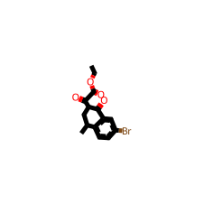 CCOC(=O)C(=O)C1CC(C)c2ccc(Br)cc2C1=O